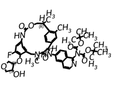 Cc1cc2ccc1[C@@H](C)COC(=O)Nc1cc(F)c(O[C@@H]3COC[C@@H]3O)c(c1)CN(C)C(=O)[C@@H]2Nc1ccc2c(N(C(=O)OC(C)(C)C)C(=O)OC(C)(C)C)nccc2c1